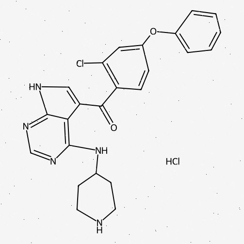 Cl.O=C(c1ccc(Oc2ccccc2)cc1Cl)c1c[nH]c2ncnc(NC3CCNCC3)c12